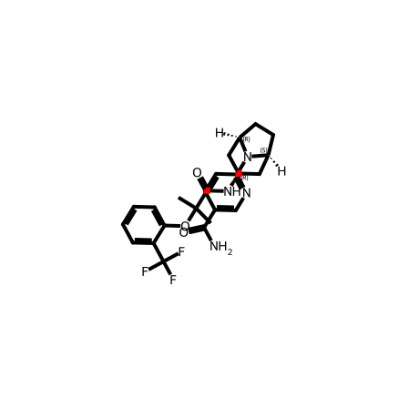 CC(C)(Oc1ccccc1C(F)(F)F)C(=O)N[C@H]1C[C@H]2CC[C@@H](C1)N2c1ccc(C(N)=O)cn1